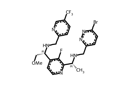 COC[C@H](NCc1ccc(C(F)(F)F)cn1)c1ccnc([C@@H](C)NCc2ccc(Br)nn2)c1F